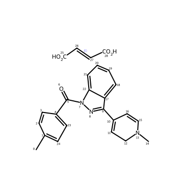 Cc1ccc(C(=O)n2nc(C3=CCN(C)C=C3)c3ccccc32)cc1.O=C(O)/C=C/C(=O)O